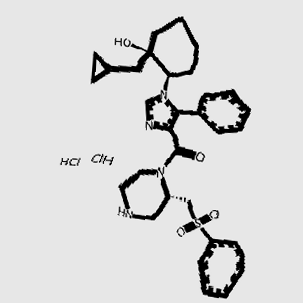 Cl.Cl.O=C(c1ncn([C@@H]2CCCC[C@@]2(O)CC2CC2)c1-c1ccccc1)N1CCNC[C@H]1CS(=O)(=O)c1ccccc1